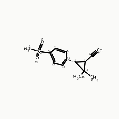 C#CC1[C@@H](c2ccc(S(N)(=O)=O)cc2)C1(C)C